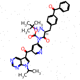 CC(C)n1cc(C(=O)c2cncc(N(C(=O)OC(C)(C)C)C(=O)[C@@H](N)Cc3ccc(C(=O)c4ccccc4)cc3)c2)c2cncnc21